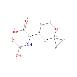 O=C(O)NC(C(=O)O)C1CCOC2(CC2)C1